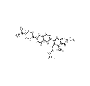 COCOc1c(-c2ccc3nc(N4CCC(N(C)C)CC4)cnc3n2)cc2cn(C)nc2c1C